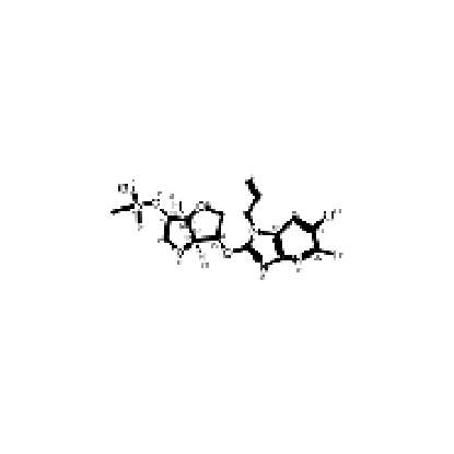 C=CCn1c(O[C@@H]2CO[C@H]3[C@@H]2OC[C@H]3O[Si](C)(C)C(C)(C)C)nc2nc(I)c(Cl)cc21